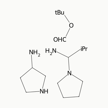 CC(C)(C)OC=O.CC(C)C(N)N1CCCC1.NC1CCNC1